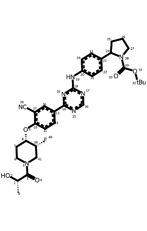 C[C@H](O)C(=O)N1CC[C@H](Oc2ccc(-c3ncnc(Nc4ccc(C5CCCN5C(=O)OC(C)(C)C)cc4)n3)cc2C#N)[C@H](F)C1